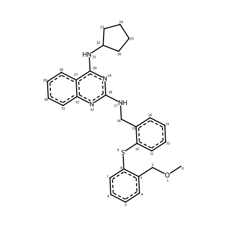 COCc1ccccc1Sc1ccccc1CNc1nc(NC2CCCC2)c2ccccc2n1